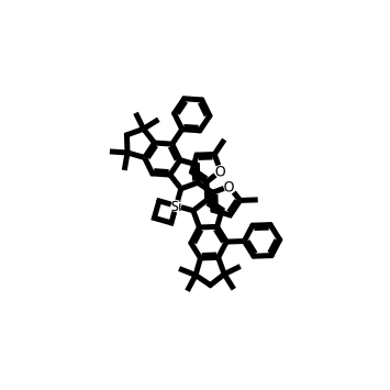 Cc1ccc(C2=Cc3c(cc4c(c3-c3ccccc3)C(C)(C)CC4(C)C)C2[Si]2(C3C(c4ccc(C)o4)=Cc4c3cc3c(c4-c4ccccc4)C(C)(C)CC3(C)C)CCC2)o1